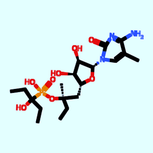 CCC(O)(CC)P(=O)(O)O[C@](C)(CC)C[C@H]1O[C@@H](n2cc(C)c(N)nc2=O)[C@H](O)[C@@H]1O